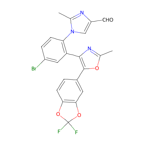 Cc1nc(-c2cc(Br)ccc2-n2cc(C=O)nc2C)c(-c2ccc3c(c2)OC(F)(F)O3)o1